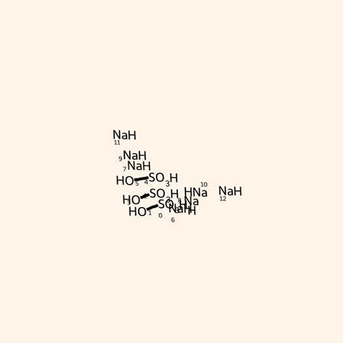 O=S(=O)(O)O.O=S(=O)(O)O.O=S(=O)(O)O.[NaH].[NaH].[NaH].[NaH].[NaH].[NaH].[NaH]